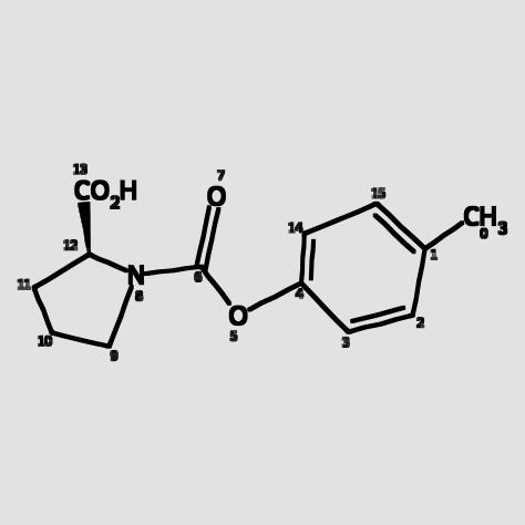 Cc1ccc(OC(=O)N2CCC[C@H]2C(=O)O)cc1